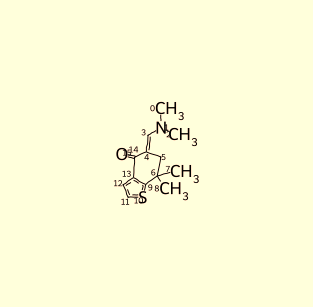 CN(C)C=C1CC(C)(C)c2sccc2C1=O